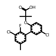 Cc1cc(Cl)c(F)c(-c2cc(Cl)ccc2OC(C)(C)C(=O)O)c1